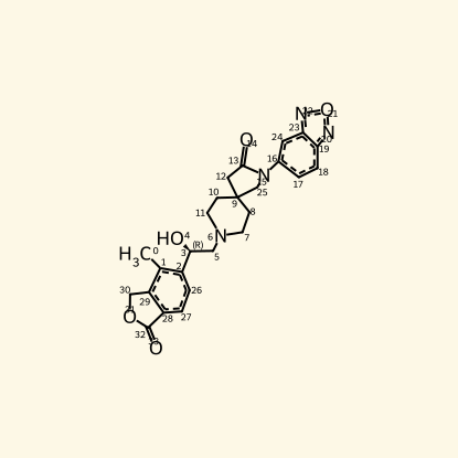 Cc1c([C@@H](O)CN2CCC3(CC2)CC(=O)N(c2ccc4nonc4c2)C3)ccc2c1COC2=O